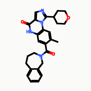 Cc1cc2c(cc1C(=O)N1CCCc3ccccc3C1)[nH]c(=O)c1cnc(C3CCOCC3)n12